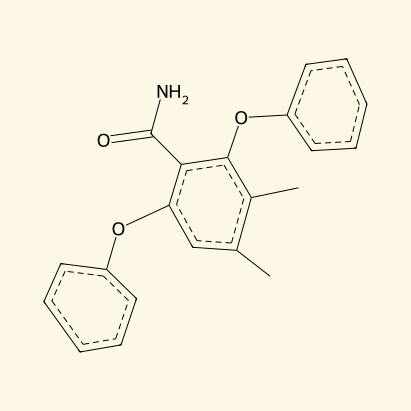 Cc1cc(Oc2ccccc2)c(C(N)=O)c(Oc2ccccc2)c1C